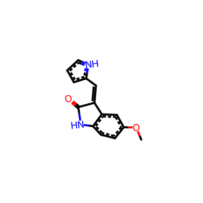 COc1ccc2c(c1)/C(=C/c1ccc[nH]1)C(=O)N2